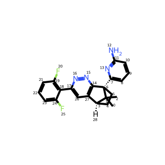 CC1(C)[C@H]2CC[C@]1(c1cccc(N)n1)c1nnc(-c3c(F)cccc3F)cc12